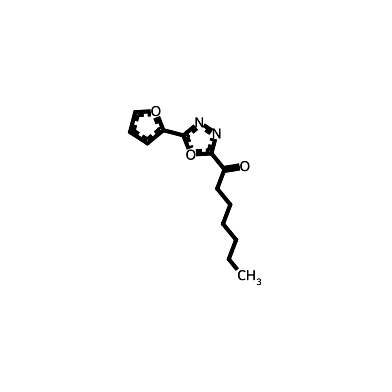 CCCCCCC(=O)c1nnc(-c2ccco2)o1